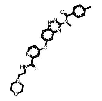 Cc1ccc(C(=O)N(C)c2nnc3ccc(Oc4ccnc(C(=O)NCCN5CCOCC5)c4)cc3n2)cc1